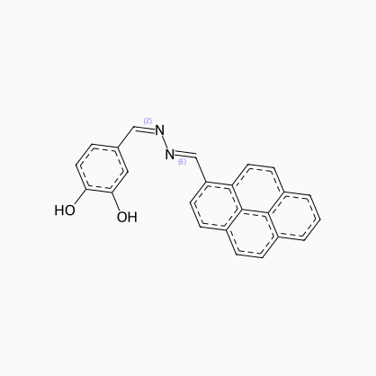 Oc1ccc(/C=N\N=C\c2ccc3ccc4cccc5ccc2c3c45)cc1O